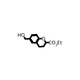 CCOC(=O)C1CCc2cc(CO)ccc2O1